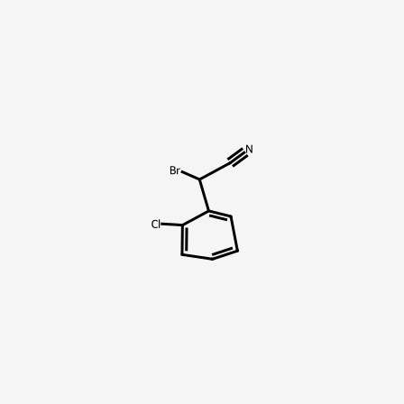 N#CC(Br)c1ccccc1Cl